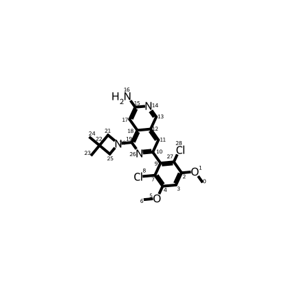 COc1cc(OC)c(Cl)c(-c2cc3cnc(N)cc3c(N3CC(C)(C)C3)n2)c1Cl